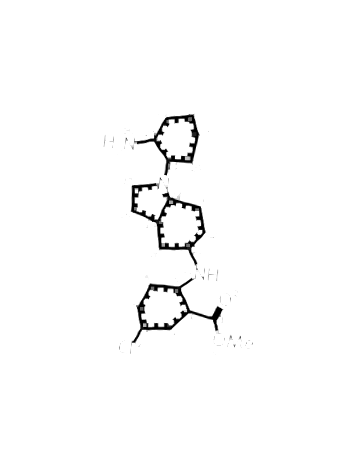 COC(=O)c1cc(Cl)ccc1Nc1ccc2c(ccn2-c2ccccc2N)c1